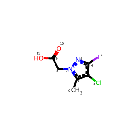 Cc1c(Cl)c(I)nn1CC(=O)O